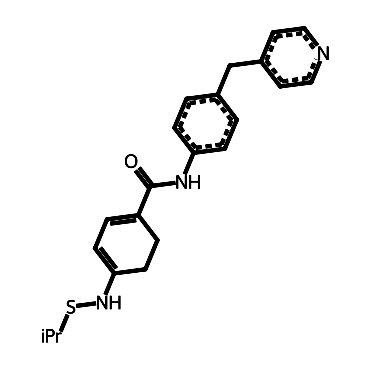 CC(C)SNC1=CC=C(C(=O)Nc2ccc(Cc3ccncc3)cc2)CC1